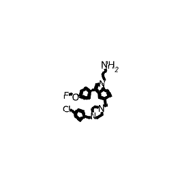 NCCCn1cc(-c2ccc(OCF)cc2)c2cc(CN3CCN(Cc4ccc(Cl)cc4)CC3)ccc21